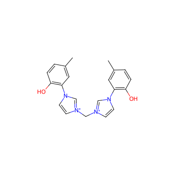 Cc1ccc(O)c(-n2cc[n+](C[n+]3ccn(-c4cc(C)ccc4O)c3)c2)c1